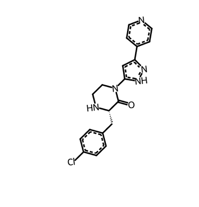 O=C1[C@H](Cc2ccc(Cl)cc2)NCCN1c1cc(-c2ccncc2)n[nH]1